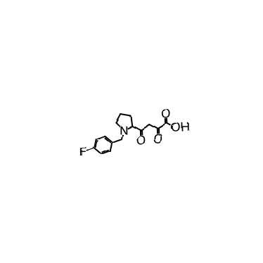 O=C(O)C(=O)CC(=O)C1CCCN1Cc1ccc(F)cc1